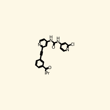 CC(C)C(=O)c1cccc(C#Cc2cc(NC(=O)Nc3ccnc(Cl)c3)ccn2)c1